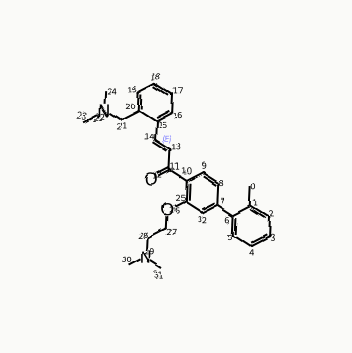 Cc1ccccc1-c1ccc(C(=O)/C=C/c2ccccc2CN(C)C)c(OCCN(C)C)c1